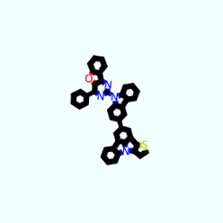 c1ccc(-c2nc(-n3c4ccccc4c4cc(-c5cc6c7ccccc7n7c8ccsc8c(c5)c67)ccc43)nc3c2oc2ccccc23)cc1